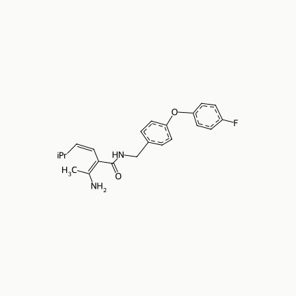 C/C(N)=C(\C=C/C(C)C)C(=O)NCc1ccc(Oc2ccc(F)cc2)cc1